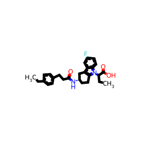 CCc1ccc(CCC(=O)N[C@H]2CCc3c(c4cc(F)ccc4n3C(CC)C(=O)O)C2)cc1